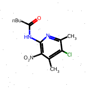 CCCCC(=O)Nc1nc(C)c(Cl)c(C)c1[N+](=O)[O-]